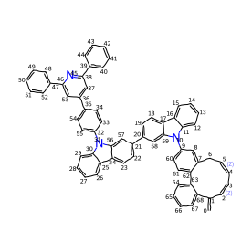 C=C1/C=C\C=C/Cc2cc(-n3c4ccccc4c4ccc(-c5ccc6c7ccccc7n(-c7ccc(-c8cc(-c9ccccc9)nc(-c9ccccc9)c8)cc7)c6c5)cc43)ccc2-c2ccccc21